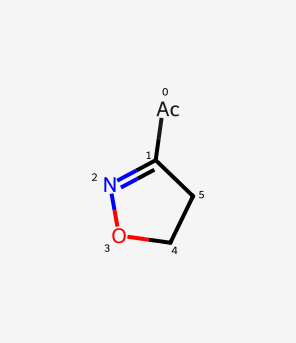 CC(=O)C1=NOCC1